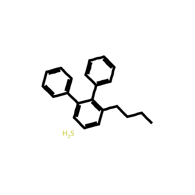 CCCCc1cccc(-c2ccccc2)c1-c1ccccc1.S